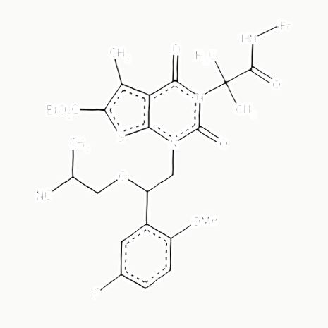 CCOC(=O)c1sc2c(c1C)c(=O)n(C(C)(C)C(=O)NC(C)C)c(=O)n2CC(OCC(C)C#N)c1cc(F)ccc1OC